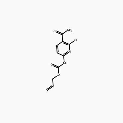 C=CCOC(=O)Nc1ccc(C(=N)N)c(Cl)n1